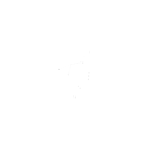 CN1CCN(N)C2CC21